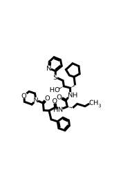 CCCC[C@H](NC(=O)C(CC(=O)N1CCOCC1)Cc1ccccc1)C(=O)N[C@@H](CC1CCCCC1)[C@H](O)CSc1ccccn1